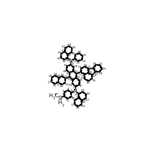 C[SiH2]c1ccc(N(c2ccc3c(-c4ccc5c6c(cccc46)-c4ccccc4-5)c4cc(N(c5ccccc5)c5cccc6ccccc56)ccc4c(-c4ccc5ccccc5c4)c3c2)c2cccc3ccccc23)cc1